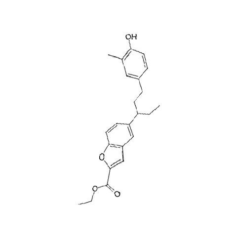 CCOC(=O)c1cc2cc(C(CC)CCc3ccc(O)c(C)c3)ccc2o1